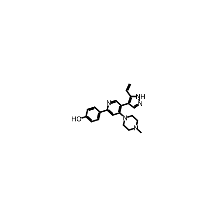 C=Cc1[nH]ncc1-c1cnc(-c2ccc(O)cc2)cc1N1CCN(C)CC1